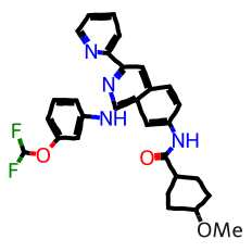 COC1CCC(C(=O)Nc2ccc3cc(-c4ccccn4)nc(Nc4cccc(OC(F)F)c4)c3c2)CC1